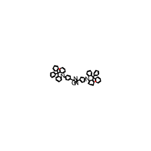 c1ccc(C2(c3ccccc3)c3ccccc3N(c3ccc(-c4noc(-c5ccc(N6c7ccccc7C(c7ccccc7)(c7ccccc7)c7ccccc76)cc5)n4)cc3)c3ccccc32)cc1